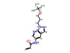 C=CC(=O)Nc1cnc2c(cnn2CCCOC(F)(F)F)c1